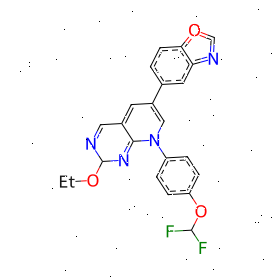 CCOC1N=CC2=CC(c3ccc4ocnc4c3)=CN(c3ccc(OC(F)F)cc3)C2=N1